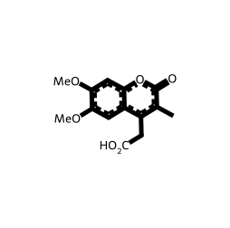 COc1cc2oc(=O)c(C)c(CC(=O)O)c2cc1OC